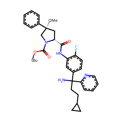 CO[C@]1(c2ccccc2)C[C@H](C(=O)Nc2cc(C(N)(CCC3CC3)c3ccccn3)ccc2F)N(C(=O)OC(C)(C)C)C1